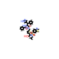 CC(C)CN(C(CO)c1ccc(CNC(=O)C(NC(=O)c2ccccc2)C(c2ccccc2)c2cn[nH]c2)s1)S(=O)(=O)c1ccc2ncsc2c1